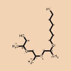 CC(C)CCCCCCOC(C)COC(C)COC(C)CO